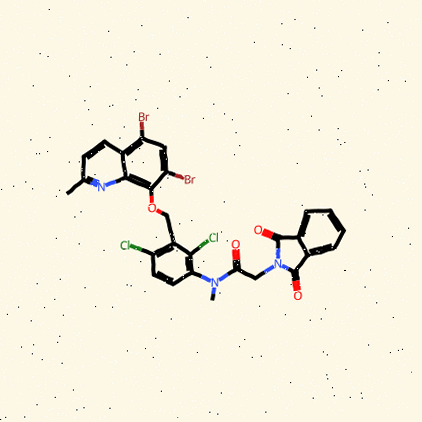 Cc1ccc2c(Br)cc(Br)c(OCc3c(Cl)ccc(N(C)C(=O)CN4C(=O)c5ccccc5C4=O)c3Cl)c2n1